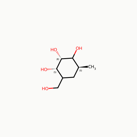 C[C@H]1CC(CO)[C@H](O)[C@H](O)C1O